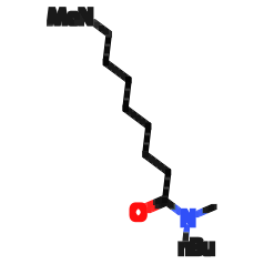 CCCCN(C)C(=O)CCCCCCCNC